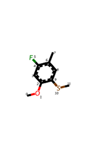 COc1cc(F)c(C)cc1SC